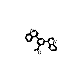 CC(=O)c1cc(-c2ccnc3ccccc23)cc(-c2ccnc3ccccc23)c1